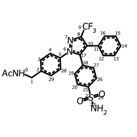 CC(=O)NCc1ccc(-n2nc(C(F)(F)F)c(-c3ccccc3)c2-c2ccc(S(N)(=O)=O)cc2)cc1